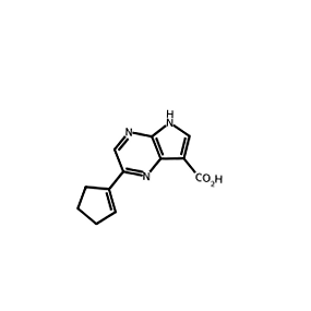 O=C(O)c1c[nH]c2ncc(C3=CCCC3)nc12